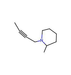 CC#CCN1CCCCC1C